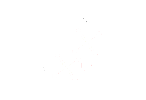 O.O=S(=O)([O-])[O-].O=S(=O)([O-])[O-].[Al+3].[Na+]